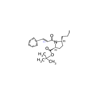 CC(C)(C)OC(=O)[C@@H]1CC[C@H](CCI)N1C(=O)/C=C/c1ccccc1